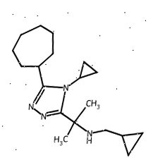 CC(C)(NCC1CC1)c1nnc(C2CCCCCC2)n1C1CC1